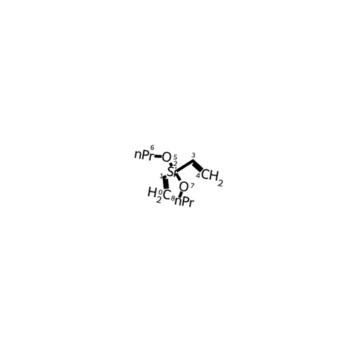 C=C[Si](C=C)(OCCC)OCCC